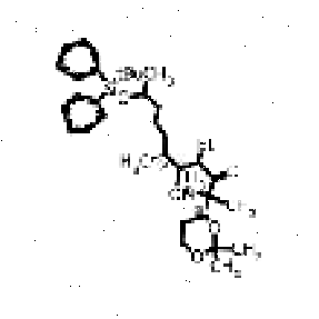 CCC(C(=O)C(C)(C)[C@@H]1CCOC(C)(C)O1)[C@@H](O)[C@@H](C)CCCC(C)O[Si](c1ccccc1)(c1ccccc1)C(C)(C)C